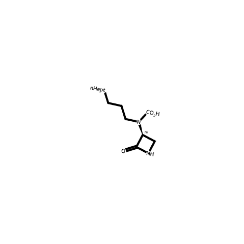 CCCCCCCCCCN(C(=O)O)[C@H]1CNC1=O